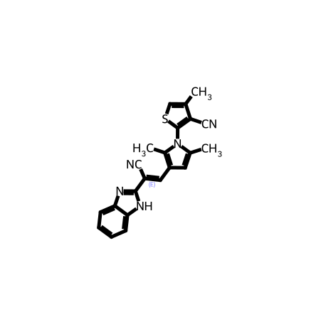 Cc1csc(-n2c(C)cc(/C=C(\C#N)c3nc4ccccc4[nH]3)c2C)c1C#N